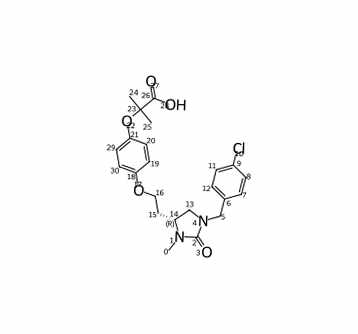 CN1C(=O)N(Cc2ccc(Cl)cc2)C[C@H]1CCOc1ccc(OC(C)(C)C(=O)O)cc1